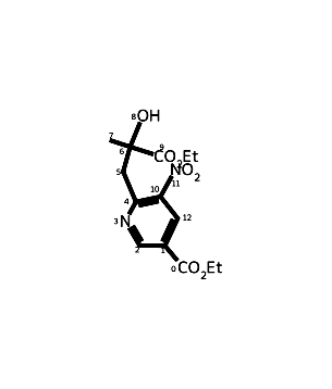 CCOC(=O)c1cnc(CC(C)(O)C(=O)OCC)c([N+](=O)[O-])c1